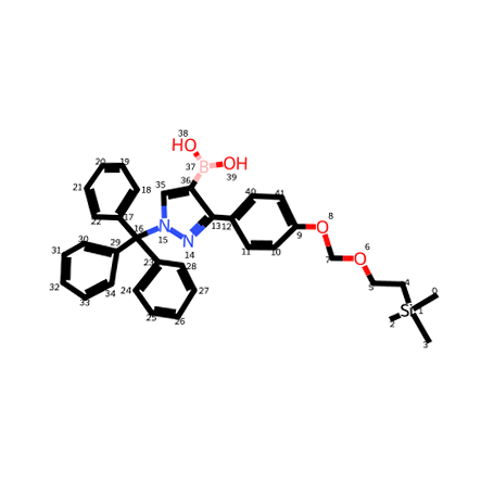 C[Si](C)(C)CCOCOc1ccc(-c2nn(C(c3ccccc3)(c3ccccc3)c3ccccc3)cc2B(O)O)cc1